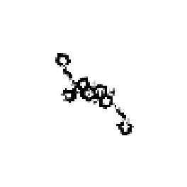 C[C@]12CC[C@H](OCCN3CCCC3)C[C@@H]1CC[C@@H]1[C@@H]2CC[C@]2(C)[C@](OCCN3CCCC3)(c3ccoc3)CC[C@]12O